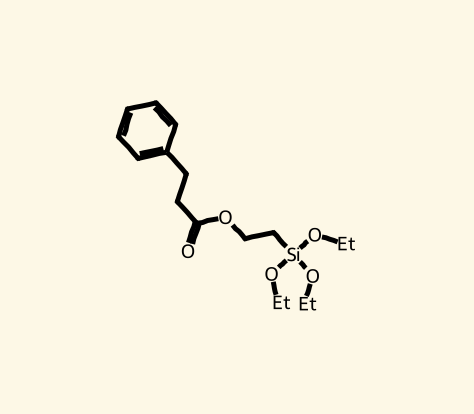 CCO[Si](CCOC(=O)CCc1ccccc1)(OCC)OCC